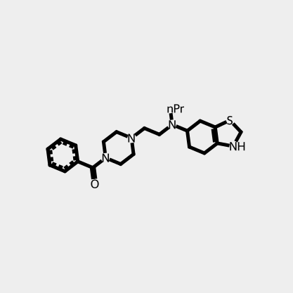 CCCN(CCN1CCN(C(=O)c2ccccc2)CC1)C1CCC2=C(C1)SCN2